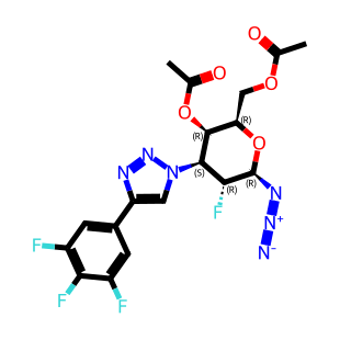 CC(=O)OC[C@H]1O[C@@H](N=[N+]=[N-])[C@H](F)[C@@H](n2cc(-c3cc(F)c(F)c(F)c3)nn2)[C@H]1OC(C)=O